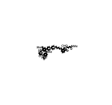 CNC(=O)CCC(C=O)N1Cc2c(OCCCCN3CCC(N4CCC(c5cc(OC)c(Nc6ncc(Cl)c(Nc7ccccc7P(C)(C)=O)n6)cc5OC)CC4)CC3)cccc2C1=O